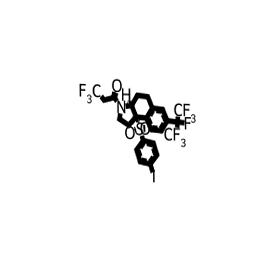 O=C(CC(F)(F)F)N1CC[C@@]2(S(=O)(=O)c3ccc(I)cc3)c3ccc(C(F)(C(F)(F)F)C(F)(F)F)cc3CC[C@@H]12